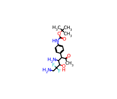 CC(=O)C(c1ccc(NC(=O)OC(C)(C)C)cc1)C(N)C(O)C(F)(F)CN